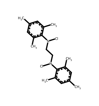 Cc1cc(C)c(N(Cl)CCN(Cl)c2c(C)cc(C)cc2C)c(C)c1